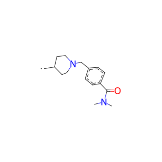 [CH2]C1CCN(Cc2ccc(C(=O)N(C)C)cc2)CC1